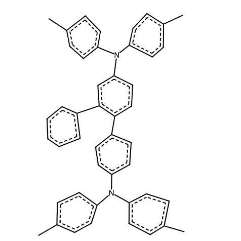 Cc1ccc(N(c2ccc(C)cc2)c2ccc(-c3ccc(N(c4ccc(C)cc4)c4ccc(C)cc4)cc3-c3ccccc3)cc2)cc1